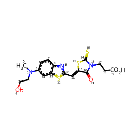 CN(CCO)c1ccc2nc(/C=C3\SC(=S)N(CCC(=O)O)C3=O)sc2c1